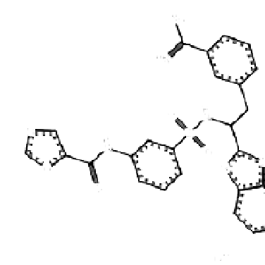 Cl.N=C(N)c1cccc(CC(NS(=O)(=O)c2cccc(NC(=O)c3cnco3)c2)c2nc3ccccc3s2)c1